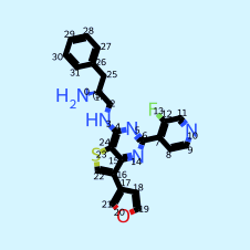 N[C@H](CNc1nc(-c2ccncc2F)nc2c(-c3ccoc3)csc12)Cc1ccccc1